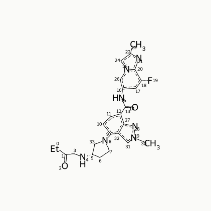 CCC(=O)CN[C@H]1CCN(c2ccc(C(=O)Nc3cc(F)c4nc(C)cn4c3)c3nn(C)cc23)C1